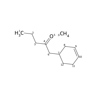 C.CCCC(=O)CC1CC=CCC1